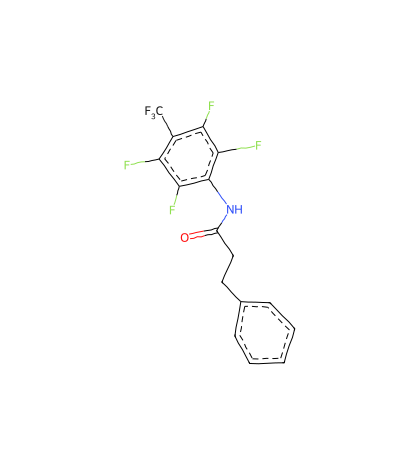 O=C(CCc1ccccc1)Nc1c(F)c(F)c(C(F)(F)F)c(F)c1F